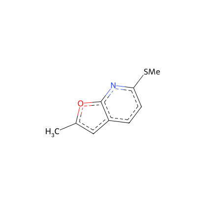 CSc1ccc2cc(C)oc2n1